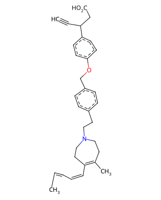 C#CC(CC(=O)O)c1ccc(OCc2ccc(CCN3CCC(C)=C(/C=C\C=C/C)CC3)cc2)cc1